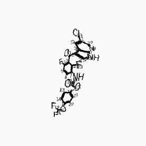 O=C(c1c(F)ccc(NS(=O)(=O)c2ccc(OC(F)F)cc2)c1F)c1c[nH]c2ncc(Cl)cc12